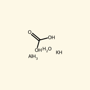 O.O=C(O)O.[AlH3].[KH]